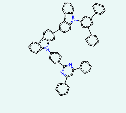 c1ccc(-c2cc(-c3ccccc3)cc(-n3c4ccccc4c4cc(-c5ccc6c7ccccc7n(-c7ccc(-c8nc(-c9ccccc9)cc(-c9ccccc9)n8)cc7)c6c5)ccc43)c2)cc1